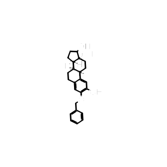 C[C@]12CC[C@@H]3c4cc(O)c(OCc5ccccc5)cc4CC[C@H]3[C@@H]1CCC2O